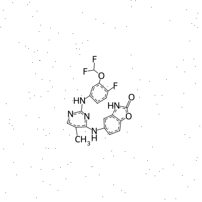 Cc1cnc(Nc2ccc(F)c(OC(F)F)c2)nc1Nc1ccc2oc(=O)[nH]c2c1